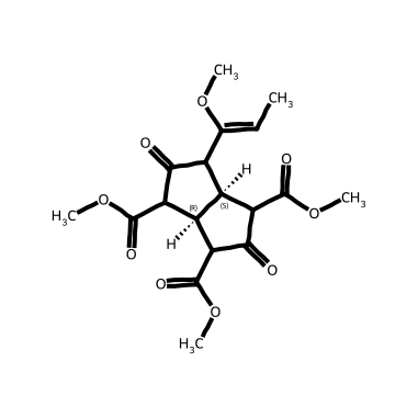 CC=C(OC)C1C(=O)C(C(=O)OC)[C@@H]2C(C(=O)OC)C(=O)C(C(=O)OC)[C@H]12